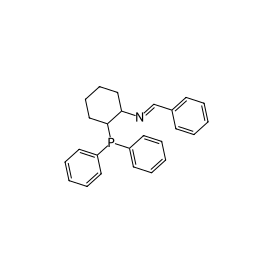 C(=NC1CCCCC1P(c1ccccc1)c1ccccc1)c1ccccc1